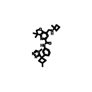 CC1CC(c2cccc(NC(=O)c3cc(CNC4(C)CCC4)c4c(n3)C(C)(C)CO4)c2)(c2nncn2C)C1